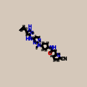 CN(c1nccc(Nc2cc(C3CC3)[nH]n2)n1)C1CCC(NC(=O)Cc2cccc(C#N)n2)CC1